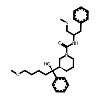 COCCCC[C@@](O)(c1ccccc1)[C@@H]1CCCN(C(=O)NC(CNI)Cc2ccccc2)C1